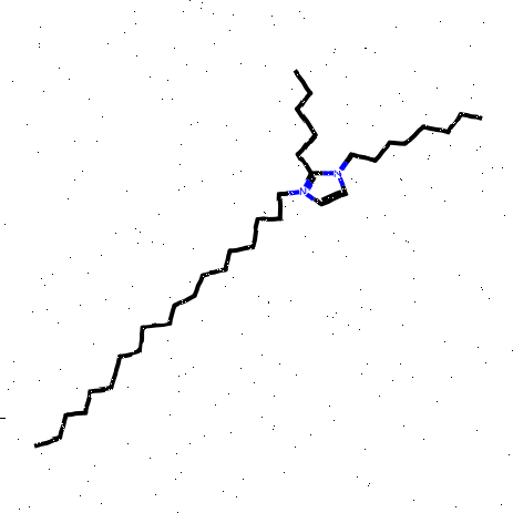 CCCCCCCCCCCCCCCCCCC[n+]1ccn(CCCCCCCC)c1CCCCC